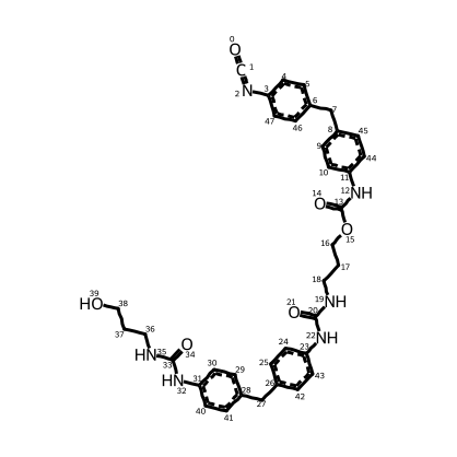 O=C=Nc1ccc(Cc2ccc(NC(=O)OCCCNC(=O)Nc3ccc(Cc4ccc(NC(=O)NCCCO)cc4)cc3)cc2)cc1